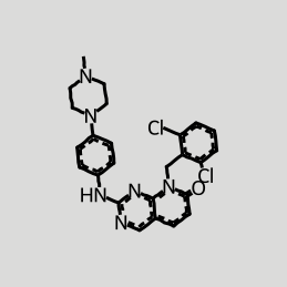 CN1CCN(c2ccc(Nc3ncc4ccc(=O)n(Cc5c(Cl)cccc5Cl)c4n3)cc2)CC1